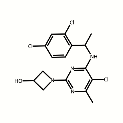 Cc1nc(N2CC(O)C2)nc(NC(C)c2ccc(Cl)cc2Cl)c1Cl